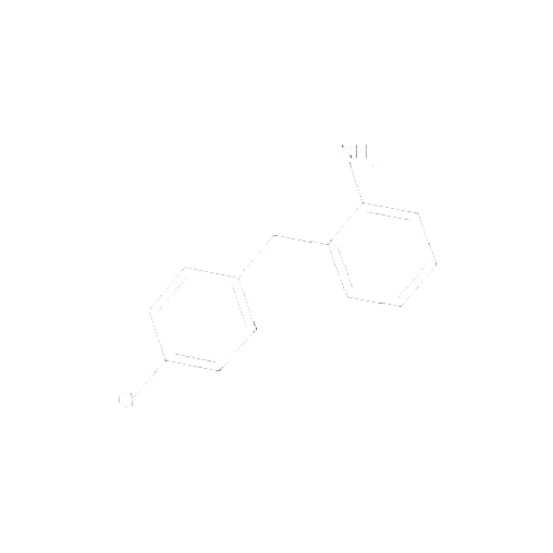 Nc1ccccc1[CH]c1ccc(Cl)cc1